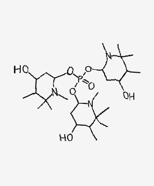 CC1C(O)CC(OP(=O)(OC2CC(O)C(C)C(C)(C)N2C)OC2CC(O)C(C)C(C)(C)N2C)N(C)C1(C)C